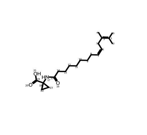 CC(C)=C(C)C/C=C\CCCCCCCC(=O)NC1(C(=O)O)CC1